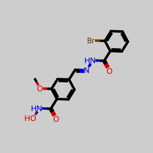 COc1cc(C=NNC(=O)c2ccccc2Br)ccc1C(=O)NO